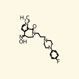 CCn1ccc2c1C(=O)N(CCCN1CCN(c3ccc(F)cc3)CC1)CCC2=NO